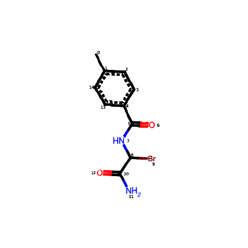 Cc1ccc(C(=O)NC(Br)C(N)=O)cc1